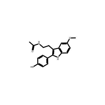 COc1ccc2[nH]c(-c3ccc(S)cc3)c(CCNC(C)=O)c2c1